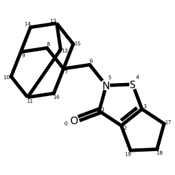 O=c1c2c(sn1CC13CC4CC(CC(C4)C1)C3)CCC2